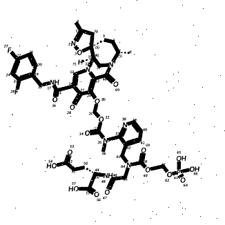 CC1=NO[C@@]2(CC[C@H](C)N3C[C@H]2n2cc(C(=O)NCc4ccc(F)cc4F)c(=O)c(OCOC(=O)N(C)c4ncccc4CN(CC(=O)N[C@@H](CCC(=O)O)C(=O)O)C(=O)OCOP(=O)(O)O)c2C3=O)C1